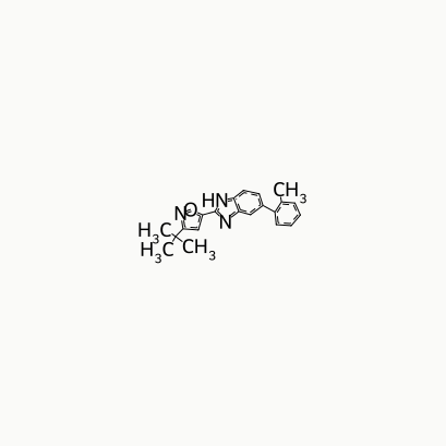 Cc1ccccc1-c1ccc2[nH]c(-c3cc(C(C)(C)C)no3)nc2c1